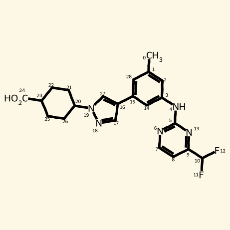 Cc1cc(Nc2nccc(C(F)F)n2)cc(-c2cnn(C3CCC(C(=O)O)CC3)c2)c1